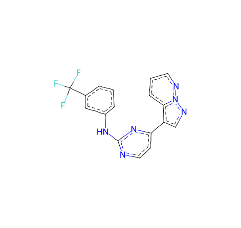 FC(F)(F)c1cccc(Nc2nccc(-c3cnn4ncccc34)n2)c1